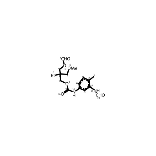 CCC(COC)(COC=O)COC(=O)Nc1ccc(C)c(NC=O)c1